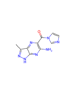 Cc1n[nH]c2nc(N)c(C(=O)n3ccnc3)nc12